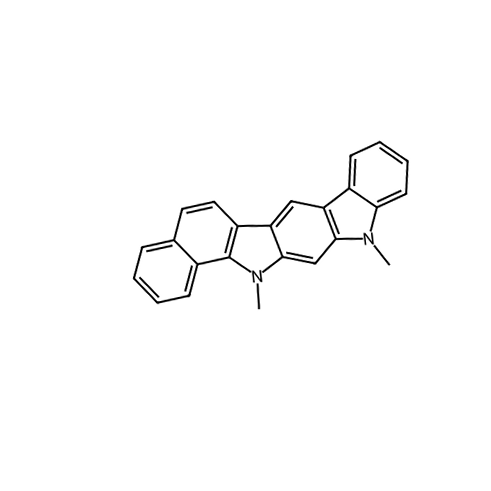 Cn1c2ccccc2c2cc3c4ccc5ccccc5c4n(C)c3cc21